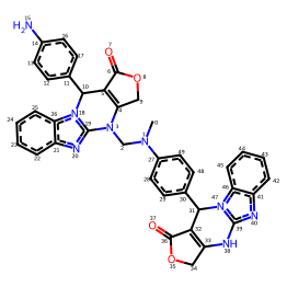 CN(CN1C2=C(C(=O)OC2)C(c2ccc(N)cc2)n2c1nc1ccccc12)c1ccc(C2C3=C(COC3=O)Nc3nc4ccccc4n32)cc1